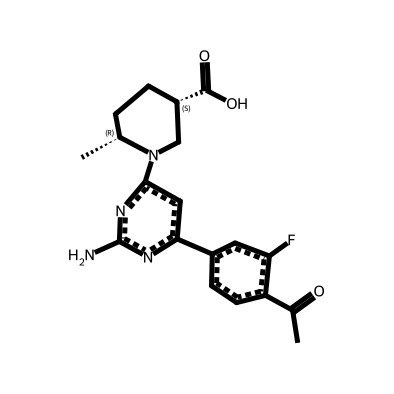 CC(=O)c1ccc(-c2cc(N3C[C@@H](C(=O)O)CC[C@H]3C)nc(N)n2)cc1F